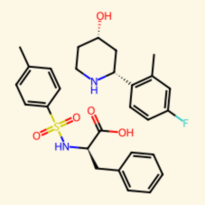 Cc1cc(F)ccc1[C@H]1C[C@@H](O)CCN1.Cc1ccc(S(=O)(=O)N[C@H](Cc2ccccc2)C(=O)O)cc1